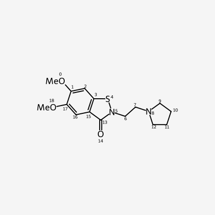 COc1cc2sn(CCN3CCCC3)c(=O)c2cc1OC